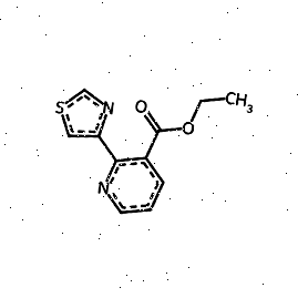 CCOC(=O)c1cccnc1-c1cscn1